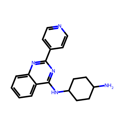 NC1CCC(Nc2nc(-c3ccncc3)nc3ccccc23)CC1